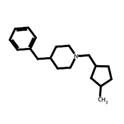 CC1CCC(CN2CCC(Cc3ccccc3)CC2)C1